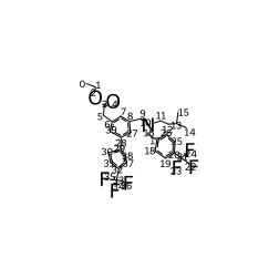 CCOC(=O)Cc1cc(CN(CCC(C)C)Cc2ccc(C(F)(F)F)cc2)cc(-c2ccc(C(F)(F)F)cc2)c1